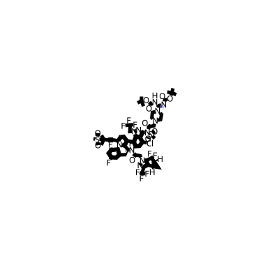 CC(C)(C)OC(=O)/N=C(\NC(=O)OC(C)(C)C)N1CCN(CC(=O)N(c2nn(CC(F)(F)F)c3c(-c4ccc(C#CC(C)(C)S(C)(=O)=O)nc4[C@H](Cc4cc(F)cc(F)c4)NC(=O)Cn4nc(C(F)(F)F)c5c4C(F)(F)[C@@H]4C[C@H]54)ccc(Cl)c23)S(C)(=O)=O)CC1